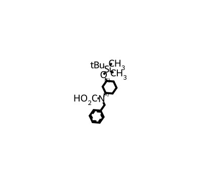 CC(C)(C)[Si](C)(C)O[C@H]1CCC[C@@H](N(Cc2ccccc2)C(=O)O)C1